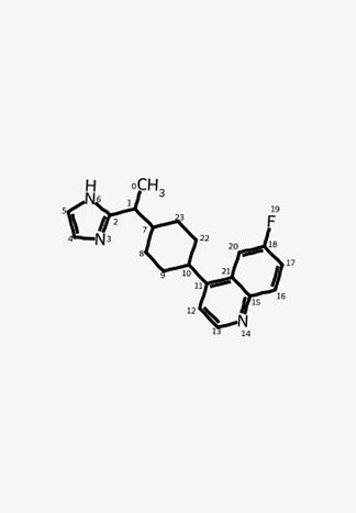 CC(c1ncc[nH]1)C1CCC(c2ccnc3ccc(F)cc23)CC1